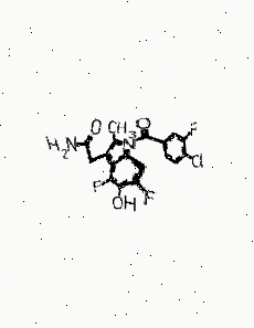 Cc1c(CC(N)=O)c2c(F)c(O)c(F)cc2n1C(=O)c1ccc(Cl)c(F)c1